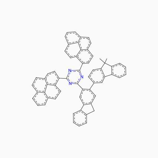 CC1(C)c2ccccc2-c2cc(-c3cc4c(cc3-c3nc(-c5ccc6ccc7cccc8ccc5c6c78)nc(-c5ccc6ccc7cccc8ccc5c6c78)n3)-c3ccccc3C4)ccc21